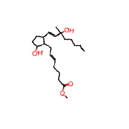 CCCCCC(C)(O)C=CC1CCC(O)C1CC=CCCCC(=O)OC